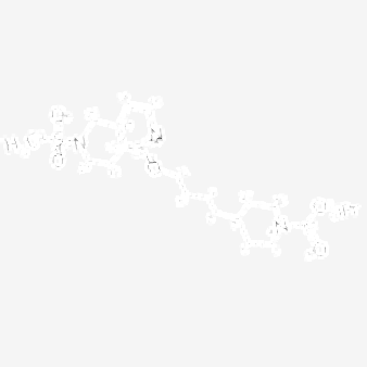 CC(C)OC(=O)N1CCC(CCCCOc2nccc3c2CCN(S(C)(=O)=O)C3)CC1